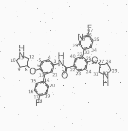 O=C(Nc1ccc(OC2CCNC2)c(-c2ccc(F)cc2)c1)c1ccc(OC2CCNC2)c(-c2ccc(F)nc2)c1